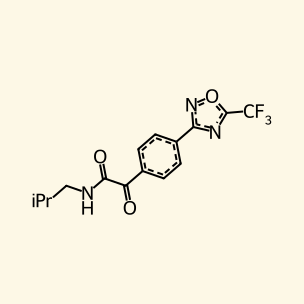 CC(C)CNC(=O)C(=O)c1ccc(-c2noc(C(F)(F)F)n2)cc1